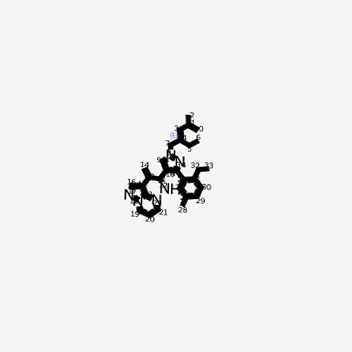 C=C(C)/C=C(\CC)Cn1cc(C(N)C(=C)c2cnn3cccnc23)c(-c2cc(C)ccc2CC)n1